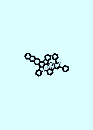 CC1(C)c2ccccc2-c2c3c(c4c5ccccc5n(-c5cccc(-c6cc(-c7ccccc7)nc(-c7ccccc7)n6)c5)c4c21)Cc1cc2ccccc2cc1C3